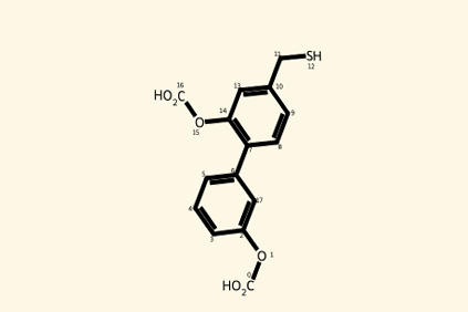 O=C(O)Oc1cccc(-c2ccc(CS)cc2OC(=O)O)c1